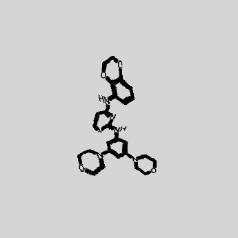 c1cc(Nc2ccnc(Nc3cc(N4CCOCC4)cc(N4CCOCC4)c3)n2)c2c(c1)OCCO2